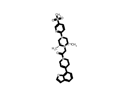 C[C@@H]1CN(c2ccc(S(C)(=O)=O)cn2)C[C@H](C)N1CC(=O)N1CC=C(c2cccc3ccoc23)CC1